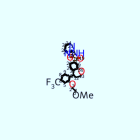 COCCOc1cc(C(F)(F)F)ccc1C1CCOc2cc(S(=O)(=O)Nc3ncccn3)ccc21